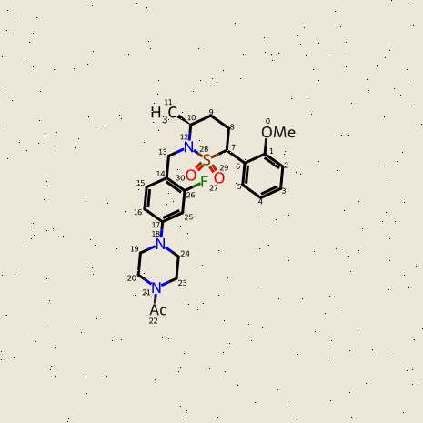 COc1ccccc1C1CC[C@H](C)N(Cc2ccc(N3CCN(C(C)=O)CC3)cc2F)S1(=O)=O